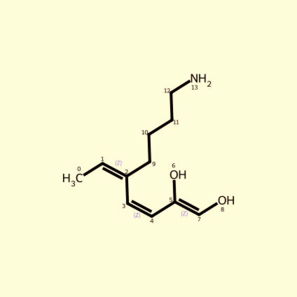 C\C=C(/C=C\C(O)=C\O)CCCCN